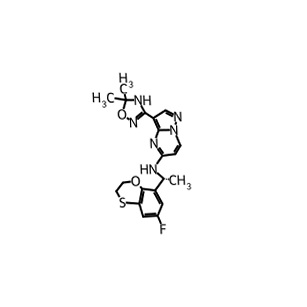 C[C@@H](Nc1ccn2ncc(C3=NOC(C)(C)N3)c2n1)c1cc(F)cc2c1OCCS2